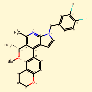 Cc1nc2c(ccn2Cc2ccc(F)c(F)c2)c(-c2ccc3c(c2)CCCO3)c1[C@H](OC(C)(C)C)C(=O)O